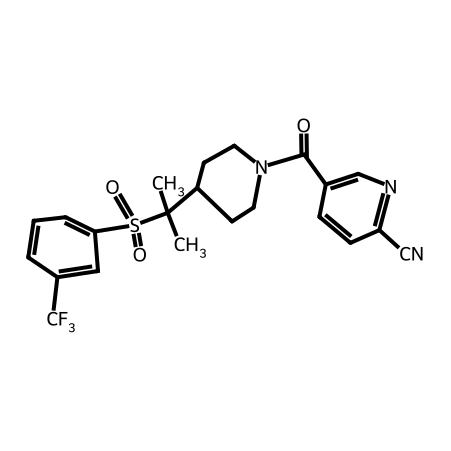 CC(C)(C1CCN(C(=O)c2ccc(C#N)nc2)CC1)S(=O)(=O)c1cccc(C(F)(F)F)c1